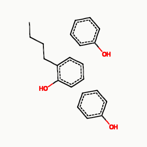 CCCCc1ccccc1O.Oc1ccccc1.Oc1ccccc1